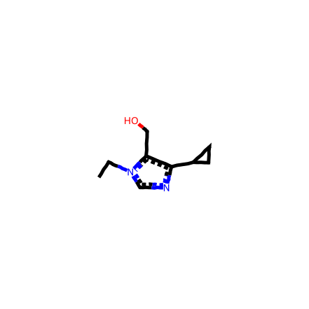 CCn1cnc(C2CC2)c1CO